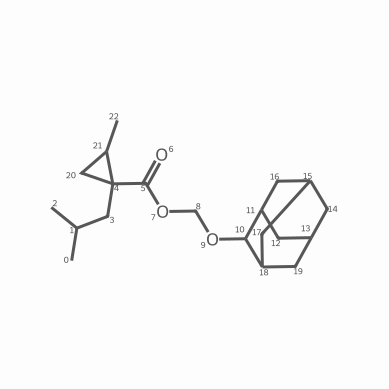 CC(C)CC1(C(=O)OCOC2C3CC4CC(C3)CC2C4)CC1C